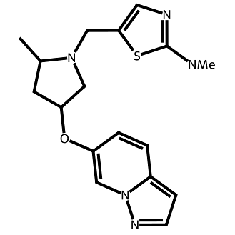 CNc1ncc(CN2CC(Oc3ccc4ccnn4c3)CC2C)s1